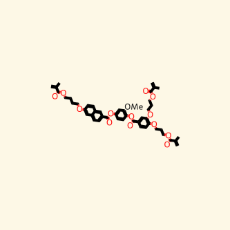 C=C(C)C(=O)OCCCCOc1ccc2cc(C(=O)Oc3ccc(OC(=O)c4ccc(OCCCOC(=O)C(=C)C)c(OCCCOC(=O)C(=C)C)c4)c(OC)c3)ccc2c1